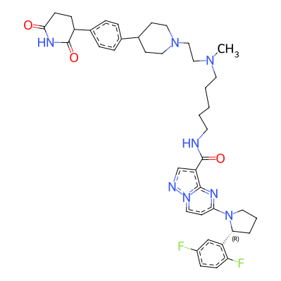 CN(CCCCCNC(=O)c1cnn2ccc(N3CCC[C@@H]3c3cc(F)ccc3F)nc12)CCN1CCC(c2ccc(C3CCC(=O)NC3=O)cc2)CC1